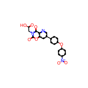 O=C(O)Cn1c(=O)oc2cc(-c3ccc(Oc4ccc([N+](=O)[O-])cc4)cc3)cnc2c1=O